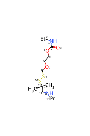 CCNC(=O)OCCOCSSC(C)(C)CNC(C)C